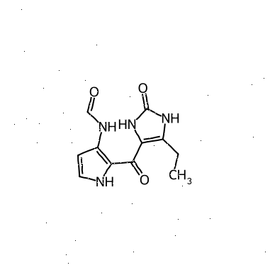 CCc1[nH]c(=O)[nH]c1C(=O)c1[nH]ccc1NC=O